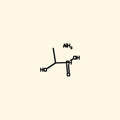 CC(O)[PH](=O)O.[AlH3]